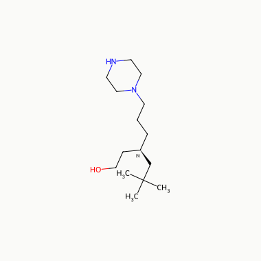 CC(C)(C)C[C@@H](CCO)CCCN1CCNCC1